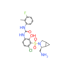 Cc1c(F)cccc1NC(=O)Nc1ccc(Cl)c(S(=O)(=O)N2CC3CC3[C@H]2CN)c1O